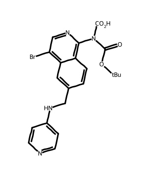 CC(C)(C)OC(=O)N(C(=O)O)c1ncc(Br)c2cc(CNc3ccncc3)ccc12